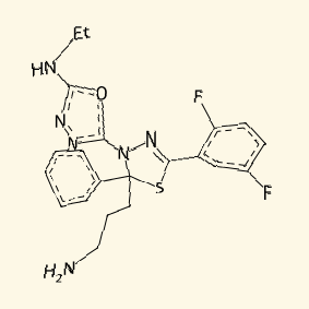 CCNc1nnc(N2N=C(c3cc(F)ccc3F)SC2(CCCN)c2ccccc2)o1